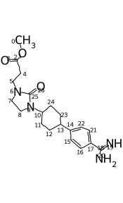 COC(=O)CCN1CCN(C2CCC(c3ccc(C(=N)N)cc3)CC2)C1=O